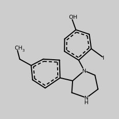 CCc1ccc(C2CNCCN2c2ccc(O)cc2I)cc1